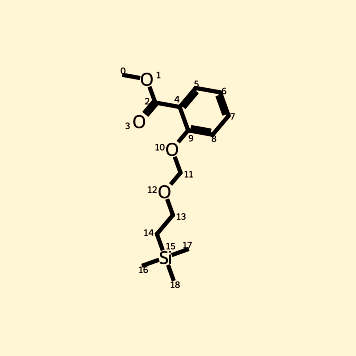 COC(=O)c1ccccc1OCOCC[Si](C)(C)C